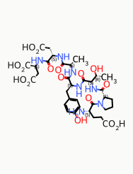 C[C@H](NC(=O)[C@H](Cc1ccc(O)cc1)NC(=O)[C@@H](NC(=O)[C@@H]1CCCN1C(=O)[C@@H](N)CCC(=O)O)[C@@H](C)O)C(=O)N[C@@H](CC(=O)O)C(=O)N[C@@H](CC(=O)O)C(=O)O